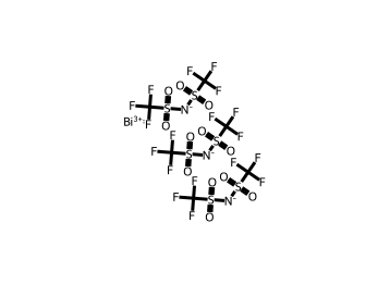 O=S(=O)([N-]S(=O)(=O)C(F)(F)F)C(F)(F)F.O=S(=O)([N-]S(=O)(=O)C(F)(F)F)C(F)(F)F.O=S(=O)([N-]S(=O)(=O)C(F)(F)F)C(F)(F)F.[Bi+3]